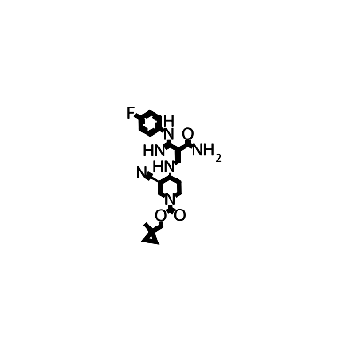 CC1(COC(=O)N2CC[C@@H](N/C=C(\C(=N)Nc3ccc(F)cc3)C(N)=O)[C@H](C#N)C2)CC1